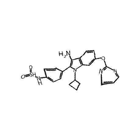 Nc1c(-c2ccc(N[SH](=O)=O)cc2)n(C2CCC2)c2cc(Oc3ncccn3)ccc12